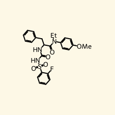 CCN(C(=O)C(Cc1ccccc1)NC(=O)NS(=O)(=O)c1ccccc1F)c1ccc(OC)cc1